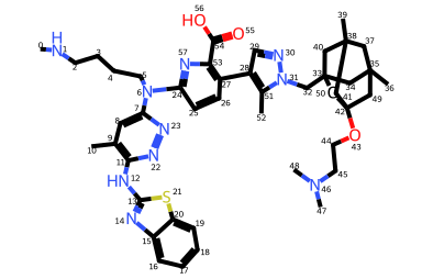 CNCCCCN(c1cc(C)c(Nc2nc3ccccc3s2)nn1)c1ccc(-c2cnn(CC34CC5(C)CC(C)(C3)CC(OCCN(C)C)(C5)C4)c2C)c(C(=O)O)n1